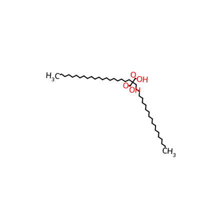 CCCCCCCCCCCCCCCCCCCCC(CCCCCCCCCCCCCCCCCCCC)(C(=O)O)C(=O)O